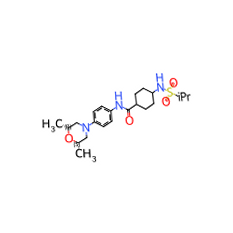 CC(C)S(=O)(=O)NC1CCC(C(=O)Nc2ccc(N3C[C@@H](C)O[C@@H](C)C3)cc2)CC1